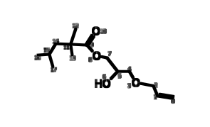 C=CCOCC(O)COC(=O)C(C)(C)CC(C)C